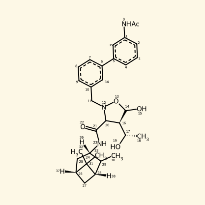 CC(=O)Nc1cccc(-c2cccc(CN3OC(O)[C@@H]([C@H](C)O)C3C(=O)N[C@H]3C[C@H]4C[C@@H](C3C)C4(C)C)c2)c1